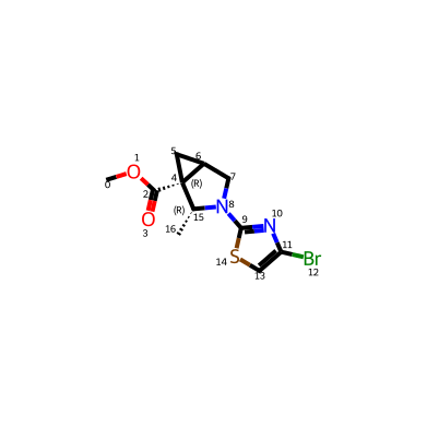 COC(=O)[C@]12CC1CN(c1nc(Br)cs1)[C@@H]2C